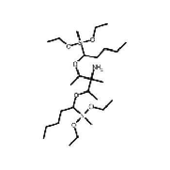 CCCCC(OC(C)C(C)(N)C(C)OC(CCCC)[Si](C)(OCC)OCC)[Si](C)(OCC)OCC